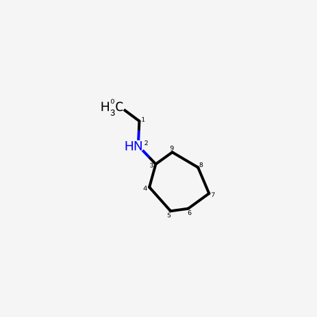 CCNC1CCCCCC1